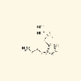 Cl.Cl.NCCCc1cn[nH]c1CN